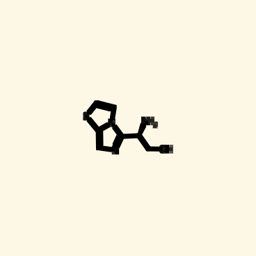 N[C@@H](CO)c1ncc2sccn12